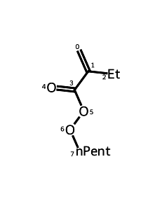 C=C(CC)C(=O)OOCCCCC